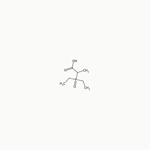 CCP(=O)(CC)C(C)C(=O)O